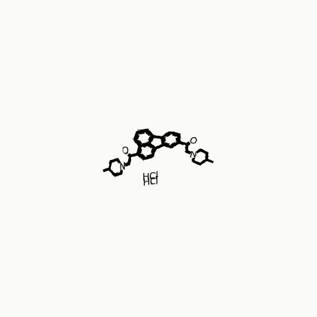 CC1CCN(CC(=O)c2ccc3c(c2)-c2ccc(C(=O)CN4CCC(C)CC4)c4cccc-3c24)CC1.Cl.Cl